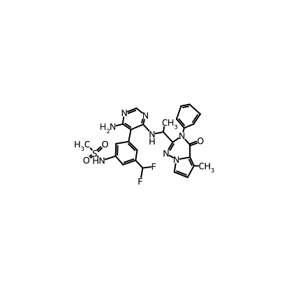 Cc1ccn2nc(C(C)Nc3ncnc(N)c3-c3cc(NS(C)(=O)=O)cc(C(F)F)c3)n(-c3ccccc3)c(=O)c12